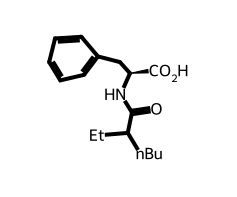 CCCCC(CC)C(=O)N[C@@H](Cc1ccccc1)C(=O)O